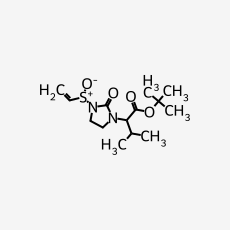 C=C[S+]([O-])N1CCN(C(C(=O)OC(C)(C)C)C(C)C)C1=O